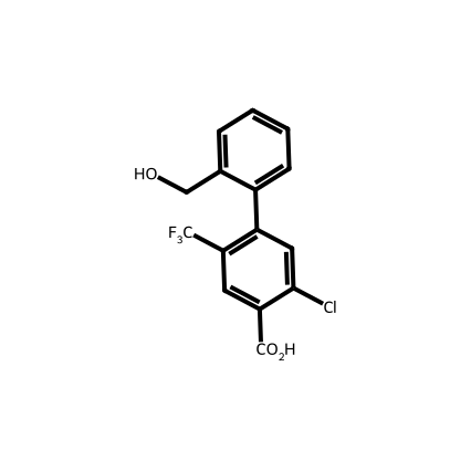 O=C(O)c1cc(C(F)(F)F)c(-c2ccccc2CO)cc1Cl